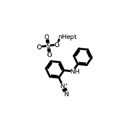 CCCCCCCOS(=O)(=O)[O-].N#[N+]c1ccccc1Nc1ccccc1